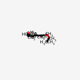 COc1cc(CNC(=O)COC(=O)CC/C(C)=C/CC/C(C)=C/CC/C=C(\C)CC/C=C(/C)CCC=C(C)C)c(C)cc1O